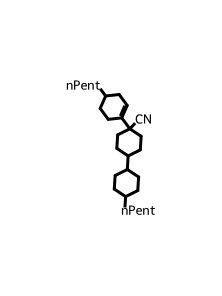 CCCCCC1CC=C(C2(C#N)CCC(C3CCC(CCCCC)CC3)CC2)CC1